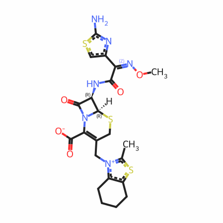 CO/N=C(\C(=O)N[C@@H]1C(=O)N2C(C(=O)[O-])=C(C[n+]3c(C)sc4c3CCCC4)CS[C@H]12)c1csc(N)n1